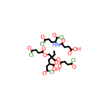 CCC(COC(=O)CCC(=O)Cl)(COC(=O)CCC(=O)Cl)CC(CC(=O)Cl)C(=O)O.O=C(O)CCC(=O)NC(CCC(=O)Cl)C(=O)Cl